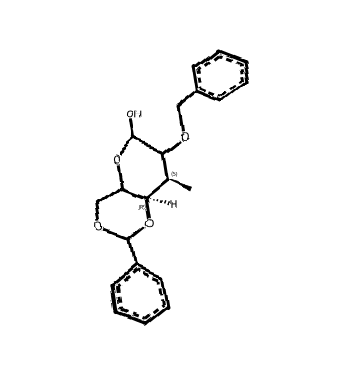 C[C@@H]1C(OCc2ccccc2)C(O)OC2COC(c3ccccc3)O[C@@H]21